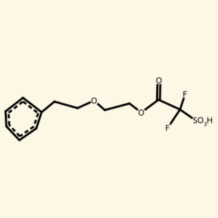 O=C(OCCOCCc1ccccc1)C(F)(F)S(=O)(=O)O